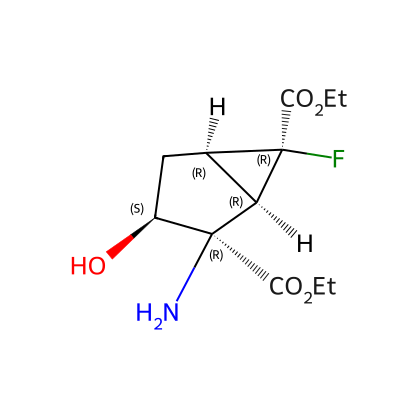 CCOC(=O)[C@@]1(N)[C@H]2[C@@H](C[C@@H]1O)[C@]2(F)C(=O)OCC